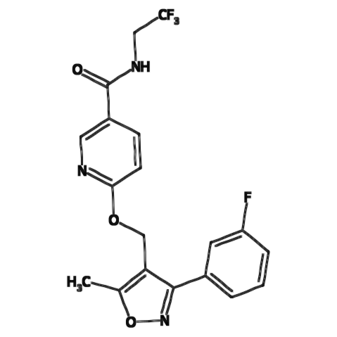 Cc1onc(-c2cccc(F)c2)c1COc1ccc(C(=O)NCC(F)(F)F)cn1